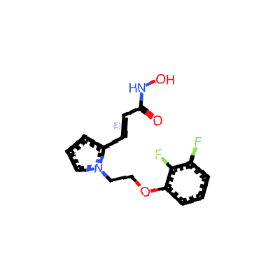 O=C(/C=C/c1cccn1CCOc1cccc(F)c1F)NO